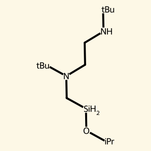 CC(C)O[SiH2]CN(CCNC(C)(C)C)C(C)(C)C